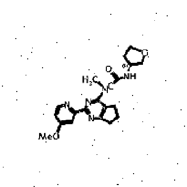 COc1ccnc(-c2nc3c(c(N(C)CC(=O)N[C@@H]4CCOC4)n2)CCC3)c1